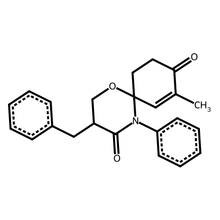 CC1=CC2(CCC1=O)OCC(Cc1ccccc1)C(=O)N2c1ccccc1